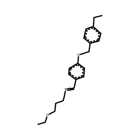 CCOCCC/N=C/c1ccc(OCc2ccc(CC)cc2)cc1